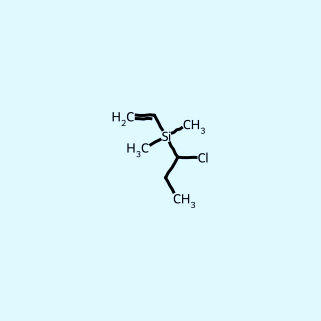 C=C[Si](C)(C)C(Cl)CC